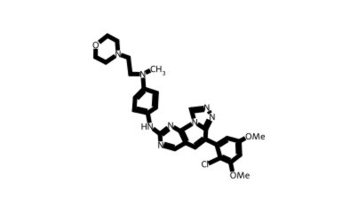 COc1cc(OC)c(Cl)c(-c2cc3cnc(Nc4ccc(N(C)CCN5CCOCC5)cc4)nc3n3cnnc23)c1